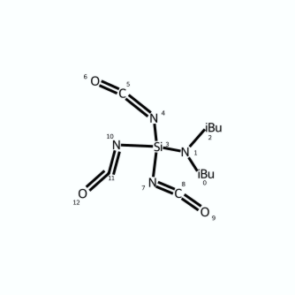 CCC(C)N(C(C)CC)[Si](N=C=O)(N=C=O)N=C=O